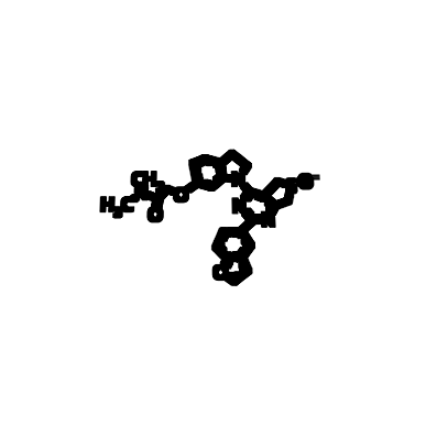 CN(C)C(=O)COc1ccc2c(c1)N(c1nc(-c3ccc4occc4c3)nc3c1C[S+]([O-])C3)CC2